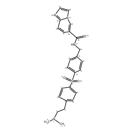 CN(C)CCc1ccc(S(=O)(=O)c2ccc(CNC(=O)c3ccc4nccn4c3)cc2)cc1